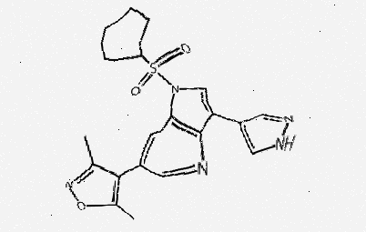 Cc1noc(C)c1-c1cnc2c(-c3cn[nH]c3)cn(S(=O)(=O)C3CCCC3)c2c1